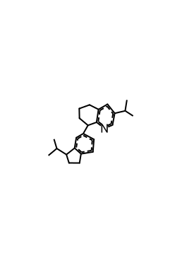 CC(C)c1cnc2c(c1)CCCC2c1ccc2c(c1)C(C(C)C)CC2